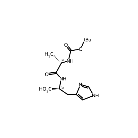 C[C@H](NC(=O)OC(C)(C)C)C(=O)N[C@@H](Cc1c[nH]cn1)C(=O)O